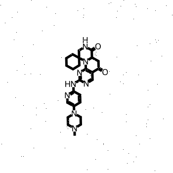 CN1CCN(c2ccc(Nc3ncc4c(n3)N3C(CC4=O)C(=O)NCC34CCCCC4)nc2)CC1